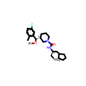 CNC[C@H](CC1CCCC1)NC(=O)N1CCC[C@@H](C(OC(C)C)c2cc(F)ccc2C)C1